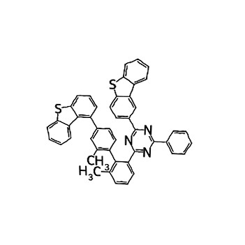 Cc1cc(-c2cccc3sc4ccccc4c23)ccc1-c1c(C)cccc1-c1nc(-c2ccccc2)nc(-c2ccc3sc4ccccc4c3c2)n1